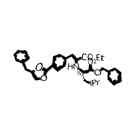 CCOC(=O)C(Cc1ccc(C2OC=C(Cc3ccccc3)O2)cc1)N[C@@H](CC(C)C)C(=O)OCc1ccccc1